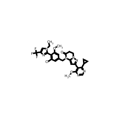 CCn1cc(C(F)(F)F)nc1-c1c(Cl)cc(CN2C(=O)CCn3nc(-c4c(OC)ncnc4C4CC4)cc32)cc1OC